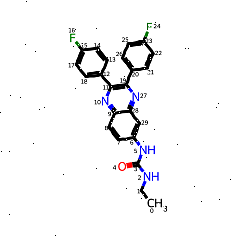 CCNC(=O)Nc1ccc2nc(-c3ccc(F)cc3)c(-c3ccc(F)cc3)nc2c1